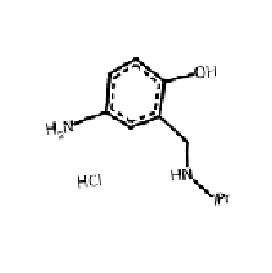 CC(C)NCc1cc(N)ccc1O.Cl